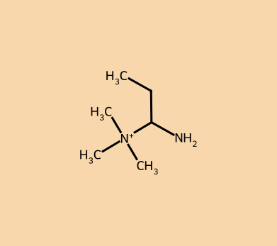 CCC(N)[N+](C)(C)C